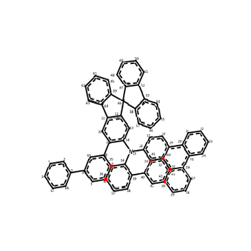 c1ccc(-c2cccc(-c3cc4c(cc3N(c3ccc5c6ccccc6c6ccccc6c5c3)c3ccccc3-c3ccccc3)C3(c5ccccc5-c5ccccc53)c3ccccc3-4)c2)cc1